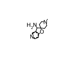 CN1CCC2(CC1)Oc1ccncc1C2N